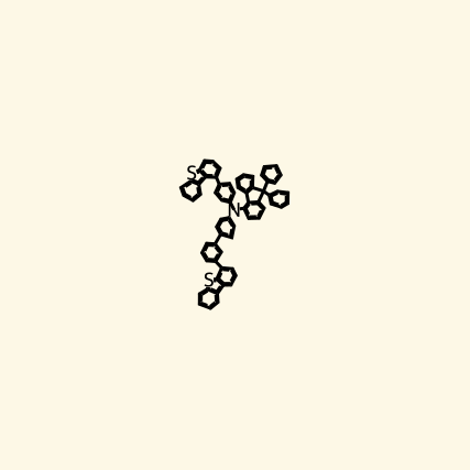 c1ccc(C2(c3ccccc3)c3ccccc3-c3c(N(c4ccc(-c5cccc(-c6cccc7c6sc6ccccc67)c5)cc4)c4ccc(-c5cccc6sc7ccccc7c56)cc4)cccc32)cc1